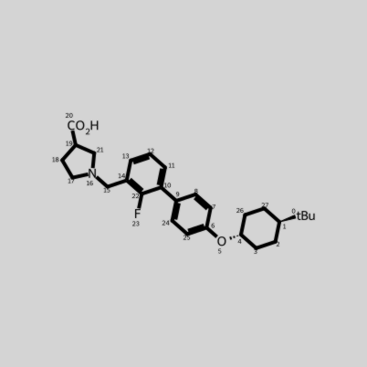 CC(C)(C)[C@H]1CC[C@H](Oc2ccc(-c3cccc(CN4CCC(C(=O)O)C4)c3F)cc2)CC1